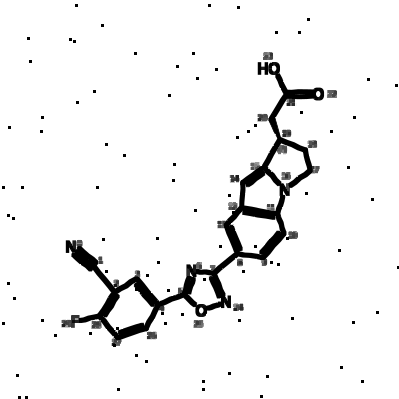 N#Cc1cc(-c2nc(-c3ccc4c(c3)cc3n4CC[C@@H]3CC(=O)O)no2)ccc1F